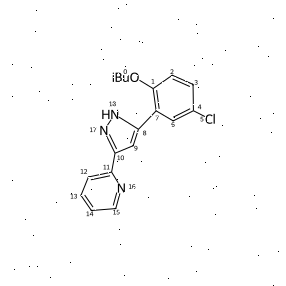 CC(C)COc1ccc(Cl)cc1-c1cc(-c2ccccn2)n[nH]1